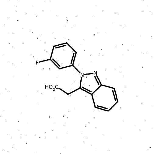 O=C(O)Cc1c2ccccc2nn1-c1cccc(F)c1